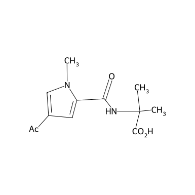 CC(=O)c1cc(C(=O)NC(C)(C)C(=O)O)n(C)c1